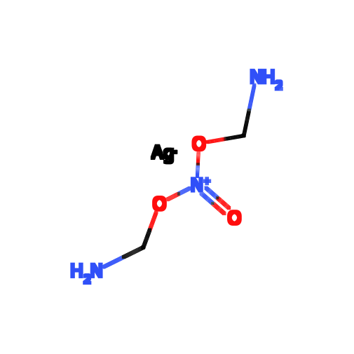 NCO[N+](=O)OCN.[Ag]